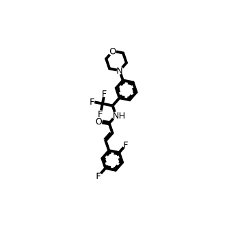 O=C(C=Cc1cc(F)ccc1F)NC(c1cccc(N2CCOCC2)c1)C(F)(F)F